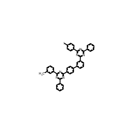 Cc1cccc(-c2nc(-c3ccccc3)nc(-c3ccc(-c4cccc(-c5nc(-c6ccccc6)nc(-c6ccc(I)cc6)n5)c4)cc3)n2)c1